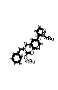 CC(C)(C)OC(=O)N(Cc1ccccc1)Cc1cncc(-c2ccnn2C(C)(C)C)c1